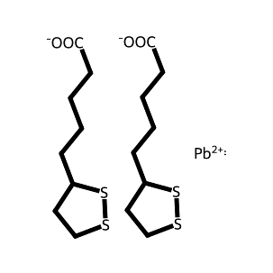 O=C([O-])CCCCC1CCSS1.O=C([O-])CCCCC1CCSS1.[Pb+2]